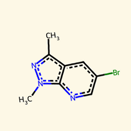 Cc1nn(C)c2ncc(Br)cc12